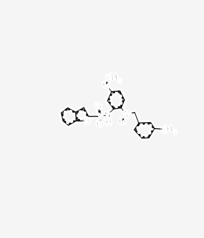 COc1ccc([S+]([O-])Cc2cccc(C)c2)c(NS(=O)(=O)c2cc3ccccc3o2)c1